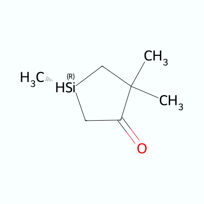 C[Si@H]1CC(=O)C(C)(C)C1